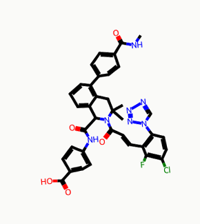 CNC(=O)c1ccc(-c2cccc3c2CC(C)(C)N(C(=O)C=Cc2c(-n4cnnn4)ccc(Cl)c2F)C3C(=O)Nc2ccc(C(=O)O)cc2)cc1